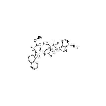 CC(C)OC(=O)[C@H](C)NP(=S)(OC[C@@]1(C(F)F)O[C@@H](n2cnc3c(N)ncnc32)C(F)(F)[C@@H]1O)Oc1cccc2ccccc12